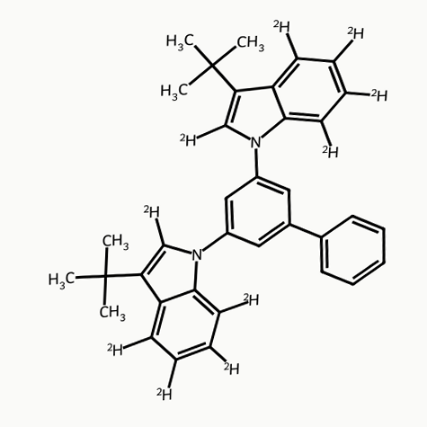 [2H]c1c([2H])c([2H])c2c(c1[2H])c(C(C)(C)C)c([2H])n2-c1cc(-c2ccccc2)cc(-n2c([2H])c(C(C)(C)C)c3c([2H])c([2H])c([2H])c([2H])c32)c1